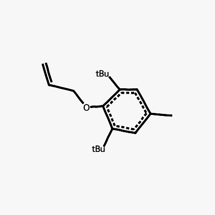 C=CCOc1c(C(C)(C)C)cc(C)cc1C(C)(C)C